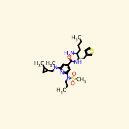 CCCC[C@H](N)[C@H](Cc1ccsc1)NC(=O)c1cc(N(C)CC2CC2C)nc(N(CCC)S(C)(=O)=O)c1